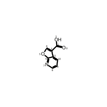 O=C(O)c1coc2ncccc12